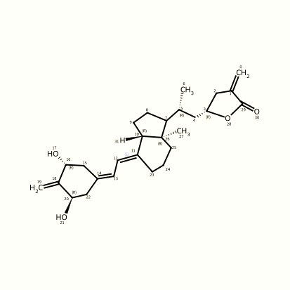 C=C1C[C@@H](C[C@@H](C)C2CC[C@H]3/C(=C/C=C4C[C@@H](O)C(=C)[C@H](O)C4)CCC[C@]23C)OC1=O